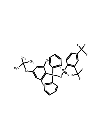 Cc1cc(OC(C)(C)C)cc(C)c1S(OS(=O)(=O)c1ccc(C(F)(F)F)cc1C(F)(F)F)(c1ccccc1)c1ccccc1